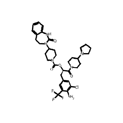 Nc1c(Cl)cc(C[C@@H](OC(=O)N2CCC(N3CCc4ccccc4NC3=O)CC2)C(=O)N2CCC(N3CCCC3)CC2)cc1C(F)(F)F